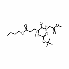 CCCCOC(=O)CC[C@H](NC(=O)OC(C)(C)C)C(=O)NCC(=O)OC